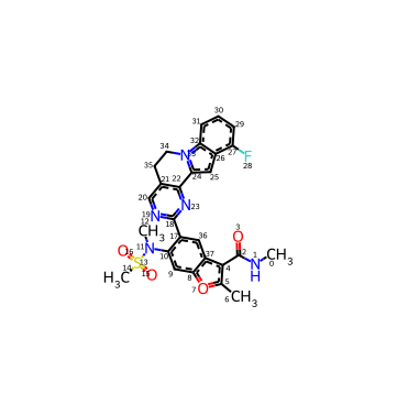 CNC(=O)c1c(C)oc2cc(N(C)S(C)(=O)=O)c(-c3ncc4c(n3)-c3cc5c(F)cccc5n3CC4)cc12